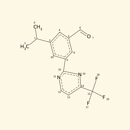 CC(C)c1cc(C=O)cc(-c2nccc(C(F)(F)F)n2)c1